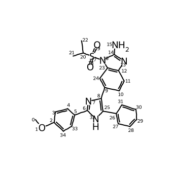 COc1ccc(-c2nc(-c3ccc4nc(N)n(S(=O)(=O)C(C)C)c4c3)c(-c3ccccc3)[nH]2)cc1